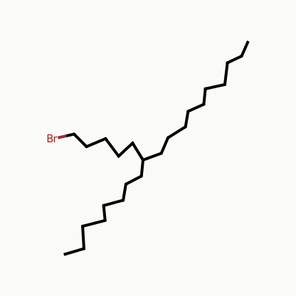 CCCCCCCCCCC(CCCCCBr)CCCCCCCC